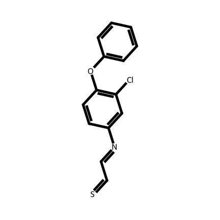 S=CC=Nc1ccc(Oc2ccccc2)c(Cl)c1